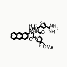 COC[C@@]1(F)C[C@@H](C(=O)N[C@H](C)c2cc(C(=N)N)cs2)N(C(=O)CN(C=O)c2ccc3cc4ccccc4cc3c2)C1